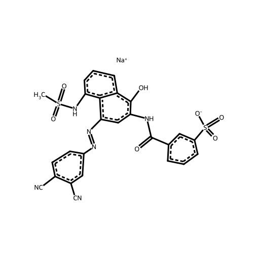 CS(=O)(=O)Nc1cccc2c(O)c(NC(=O)c3cccc(S(=O)(=O)[O-])c3)cc(N=Nc3ccc(C#N)c(C#N)c3)c12.[Na+]